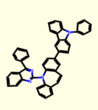 C1=Cc2cc(-c3ccc4c(c3)c3ccccc3n4-c3ccccc3)ccc2N(c2nc(-c3ccccc3)c3ccccc3n2)c2ccccc21